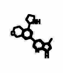 Cc1c[nH]c2ncc(-c3cc4c(c(C5CCCN5)c3)CCOC4)cc12